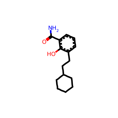 NC(=O)c1cccc(CCC2CCCCC2)c1O